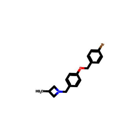 O=C(O)C1CN(Cc2ccc(OCc3ccc(Br)cc3)cc2)C1